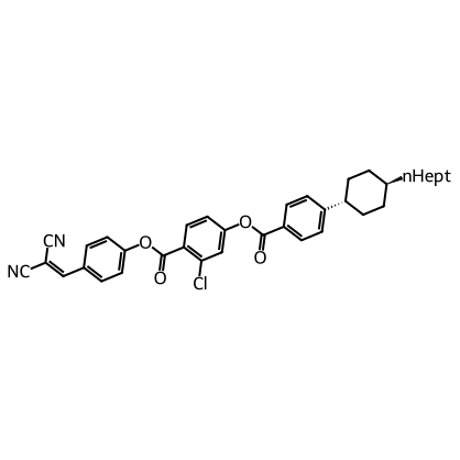 CCCCCCC[C@H]1CC[C@H](c2ccc(C(=O)Oc3ccc(C(=O)Oc4ccc(C=C(C#N)C#N)cc4)c(Cl)c3)cc2)CC1